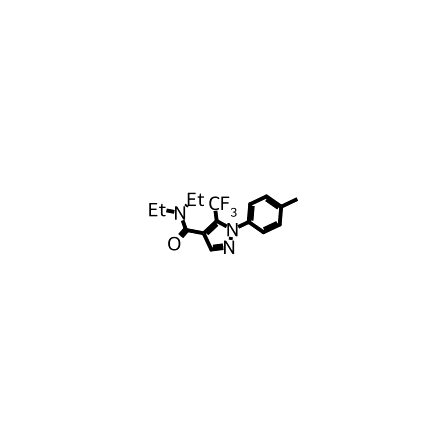 CCN(CC)C(=O)c1cnn(-c2ccc(C)cc2)c1C(F)(F)F